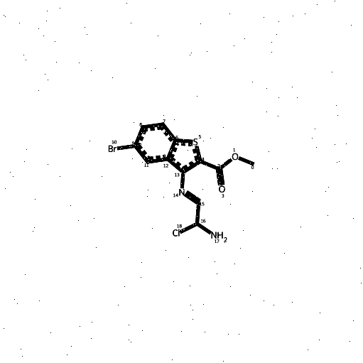 COC(=O)c1sc2ccc(Br)cc2c1N=CC(N)Cl